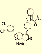 CCC(Cc1c(C(=O)NC)cccc1N1CCC(Cc2ccccc2)(NC(=O)N(C)C)CC1)c1ccc(Cl)c(Cl)c1.Cl